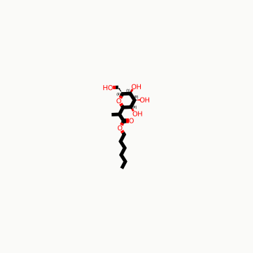 CCCCCCOC(=O)C(C)C1O[C@H](CO)[C@@H](O)[C@H](O)[C@H]1O